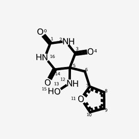 O=C1NC(=O)C(Cc2ccco2)(NO)C(=O)N1